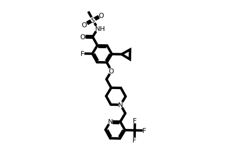 CS(=O)(=O)NC(=O)c1cc(C2CC2)c(OCC2CCN(Cc3ncccc3C(F)(F)F)CC2)cc1F